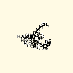 C=CCCCC(=O)O[C@H]1CC(O[Si](C)(C)C(C)(C)C)[C@H](/C=C/[C@H](COc2cccc(C(F)(F)F)c2)O[Si](C)(C)C(C)(C)C)[C@H]1CC=C